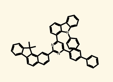 CC1(C)c2ccccc2-c2ccc3ccc(-c4nc(-c5ccc(-c6ccccc6)cc5)cc(-c5cccc6c7ccccc7n(-c7ccccc7)c56)n4)cc3c21